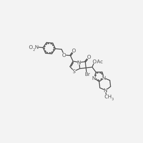 CC(=O)OC(c1cn2c(n1)CN(C)CC2)C1(Br)C(=O)N2C(C(=O)OCc3ccc([N+](=O)[O-])cc3)=CSC21